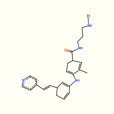 CCNCCCNC(=O)C1C=C(C)C(NC2=CC(/C=C/c3ccncc3)CC=C2)=CC1